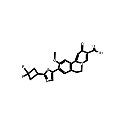 COc1cc2c(cc1-c1cnc(C3CC(F)(F)C3)s1)CCn1cc(C(=O)O)c(=O)cc1-2